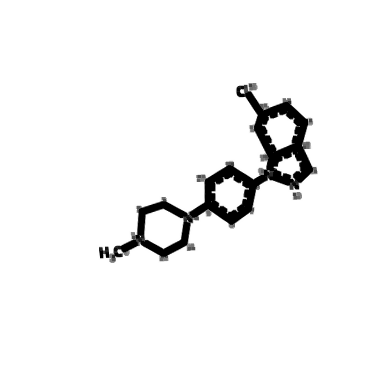 CN1CCN(c2ccc(-n3ncc4ccc(Cl)cc43)cc2)CC1